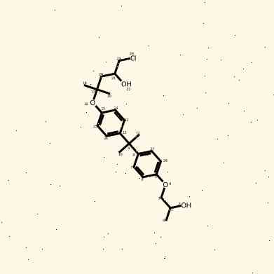 CC(O)COc1ccc(C(C)(C)c2ccc(OC(C)(C)CC(O)CCl)cc2)cc1